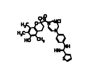 Cc1c(C)c2c(c(C)c1O)CCC(C)(C(=O)N1C=CCN(c3ccc(NC(=N)c4cccs4)cc3)C=C1)O2.Cl